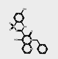 O=c1c(C2=NS(=O)(=O)c3ccc(O)cc3N2)c(O)c2cccnc2n1Cc1ccccc1